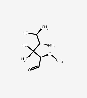 CO[C@@H](C=O)[C@](C)(O)[C@@H](N)[C@H](C)O